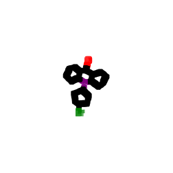 O=c1c2ccccc2p(-c2ccc(Br)cc2)c2ccccc12